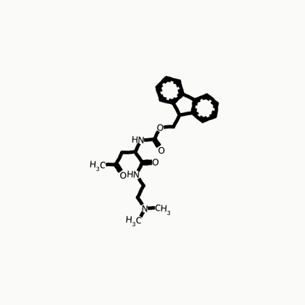 CC(=O)CC(NC(=O)OCC1c2ccccc2-c2ccccc21)C(=O)NCCN(C)C